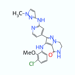 COc1c(Cl)cccc1Nc1c(-c2ccnc(Nc3ccn(C)n3)c2)nn2c1C(=O)NCC2